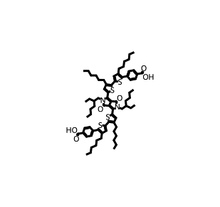 CCCCCCc1cc(-c2sc(C3=C4C(=O)N(CC(CC)CCCC)C(c5cc(CCCCCC)c(-c6cc(CCCCCC)c(-c7ccc(C(=O)O)cc7)s6)s5)=C4C(=O)N3CC(CC)CCCC)cc2CCCCCC)sc1-c1ccc(C(=O)O)cc1